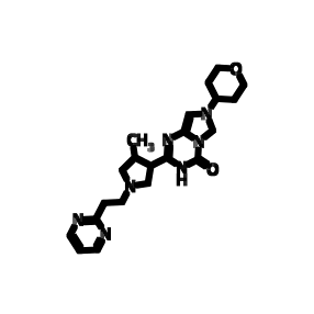 CC1CN(CCc2ncccn2)CC1C1=NC2=CN(C3CCOCC3)CN2C(=O)N1